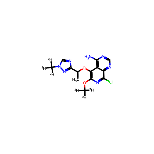 [2H]C([2H])([2H])Oc1nc(Cl)c2ncnc(N)c2c1OC(C)c1ncn(C([2H])([2H])[2H])n1